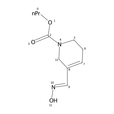 CCCOC(=O)N1CCC=C(/C=N/O)C1